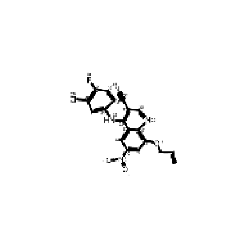 C=CCOc1cc([N+](=O)[O-])cc2c(Nc3ccc(F)c(Cl)c3)c(C#N)cnc12